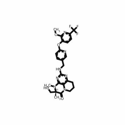 COc1nc(C(F)(F)F)ccc1Oc1ccc(CNc2nc3c4c(n2)N(C)[C@@](C)(CO)C(=O)N4CCC3)cn1